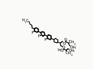 C=C(CO)C(=O)OCC(COC(O)C(=C)CO)C1CCC(c2ccc(-c3ccc(-c4ccc(CCCCC)c(F)c4)c(F)c3)c(F)c2)CC1